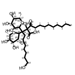 CCCCCCCCCC(=O)C(O)(C(=O)O)C(CCCCCCCO)(C1O[C@@H](C)[C@H](O)[C@@H](O)[C@H]1O)C1O[C@@H](C)[C@H](O)[C@@H](O)[C@H]1O